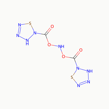 O=C(ONOC(=O)N1NN=NS1)N1NN=NS1